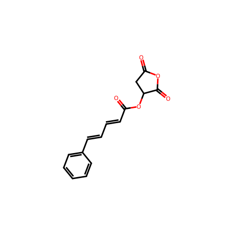 O=C(C=CC=Cc1ccccc1)OC1CC(=O)OC1=O